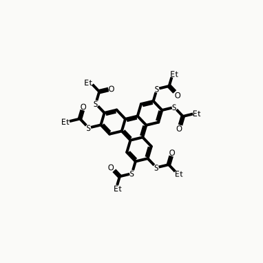 CCC(=O)Sc1cc2c3cc(SC(=O)CC)c(SC(=O)CC)cc3c3cc(SC(=O)CC)c(SC(=O)CC)cc3c2cc1SC(=O)CC